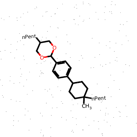 CCCCCC1COC(c2ccc(C3CCC(C)(CCCCC)CC3)cc2)OC1